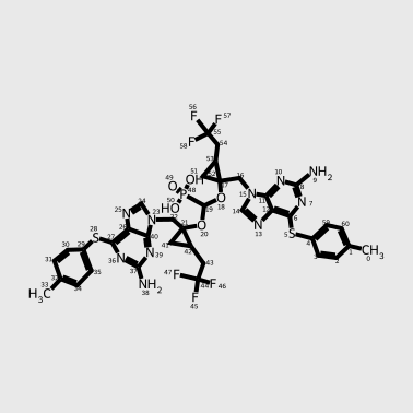 Cc1ccc(Sc2nc(N)nc3c2ncn3CC2(OC(OC3(Cn4cnc5c(Sc6ccc(C)cc6)nc(N)nc54)CC3CC(F)(F)F)P(=O)(O)O)CC2CC(F)(F)F)cc1